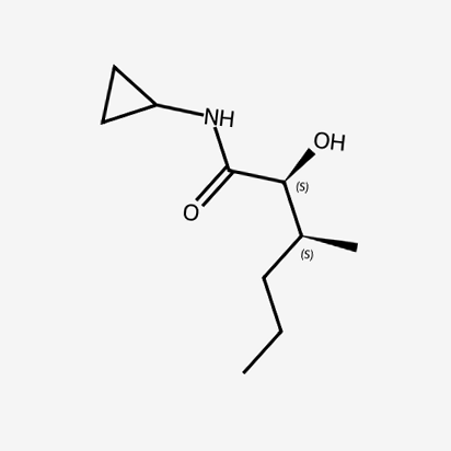 CCC[C@H](C)[C@H](O)C(=O)NC1CC1